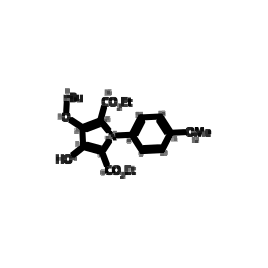 CCCCOc1c(O)c(C(=O)OCC)n(-c2ccc(OC)cc2)c1C(=O)OCC